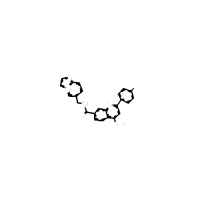 CCCc1cc(-c2ccc(Cl)cc2)nc2cc(C(=O)NCc3ccc4nccn4c3)ccc12